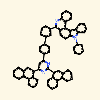 c1ccc(-n2c3ccccc3c3c4c(ccc32)c(-c2cccc(-c3ccc(-c5cc(-c6cc7ccccc7c7ccccc67)nc(-c6cc7ccccc7c7ccccc67)n5)cc3)c2)nc2ccccc24)cc1